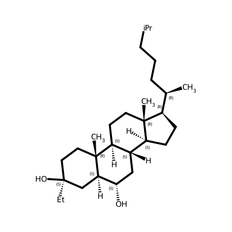 CC[C@]1(O)CC[C@@]2(C)[C@H](C1)[C@@H](O)C[C@@H]1[C@@H]2CC[C@]2(C)[C@@H]([C@H](C)CCCC(C)C)CC[C@@H]12